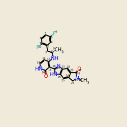 C[C@@H](Cc1cc(F)ccc1F)Nc1cc[nH]c(=O)c1-c1nc2cc3c(cc2[nH]1)CN(C)C3=O